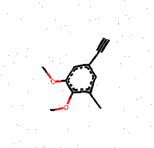 C#Cc1cc(C)c(OC)c(OC)c1